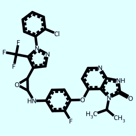 CC(C)n1c(=O)[nH]c2nccc(Oc3ccc(NC4OC4c4cnn(-c5ccccc5Cl)c4C(F)(F)F)cc3F)c21